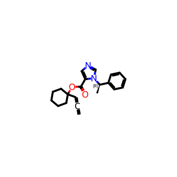 C=C=CC1(OC(=O)c2cncn2[C@H](C)c2ccccc2)CCCCC1